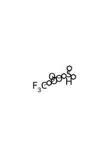 O=C(COc1ccc([SH](c2ccccc2)c2ccccc2)cc1)Oc1ccc(C(F)(F)F)cc1